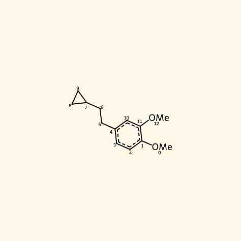 COc1ccc(C[CH]C2CC2)cc1OC